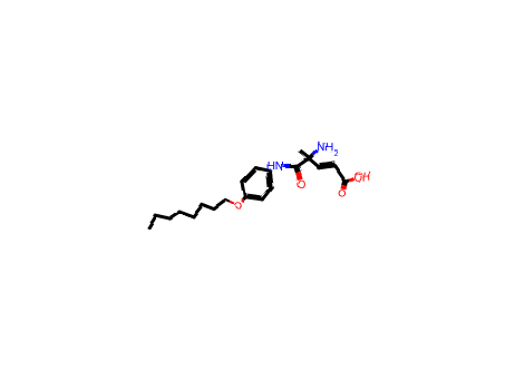 CCCCCCCCOc1ccc(NC(=O)C(C)(N)/C=C/C(=O)O)cc1